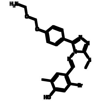 CSc1nnc(-c2ccc(OCOCN)cc2)n1/N=C/c1cc(C)c(O)cc1Br